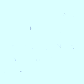 Cl.Fc1ccc(OC2CC(NCc3c(F)ccc4cnccc34)C2)cc1OC(F)F